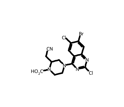 N#CCC1CN(c2nc(Cl)nc3cc(Br)c(Cl)cc23)CCN1C(=O)O